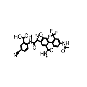 CNC(=O)c1cc2c(C(=O)Nc3ccc(C#N)cc3C(=O)O)noc2cc1-c1ccc(NC(C)=O)cc1C(F)(F)F